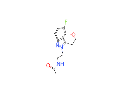 CC(=O)NCCn1nc2ccc(F)c3c2c1CCO3